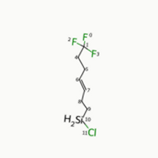 FC(F)(F)CCC=CCC[SiH2]Cl